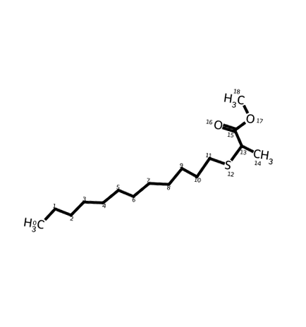 CCCCCCCCCCCCSC(C)C(=O)OC